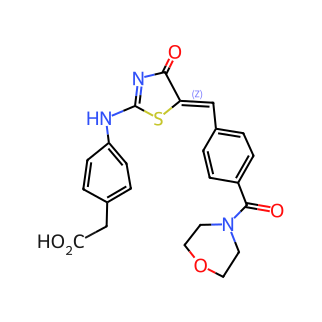 O=C(O)Cc1ccc(NC2=NC(=O)/C(=C/c3ccc(C(=O)N4CCOCC4)cc3)S2)cc1